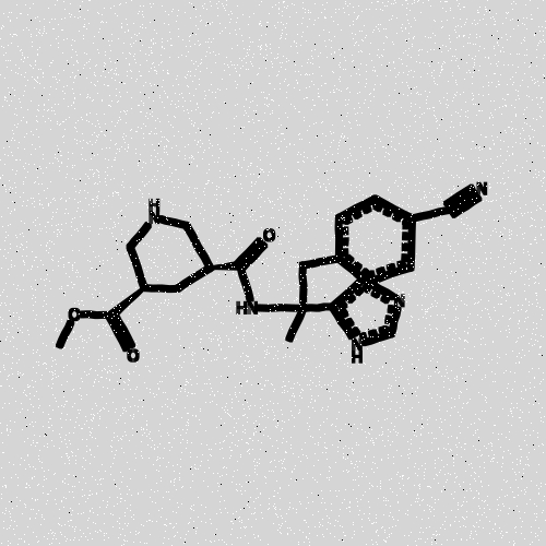 COC(=O)[C@H]1CNC[C@@H](C(=O)NC(C)(Cc2ccc(C#N)cc2)c2cnc[nH]2)C1